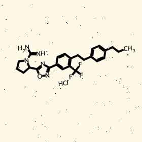 CCCc1ccc(CCc2ccc(-c3noc(C4CCCN4C(=N)N)n3)cc2C(F)(F)F)cc1.Cl